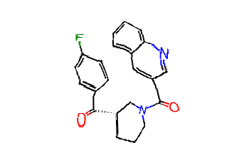 O=C(c1ccc(F)cc1)[C@H]1CCCN(C(=O)c2cnc3ccccc3c2)C1